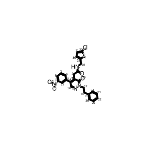 O=C(Cc1c(-c2cccc([N+](=O)[O-])c2)cnn(CCc2ccccc2)c1=O)NCc1ccc(Cl)s1